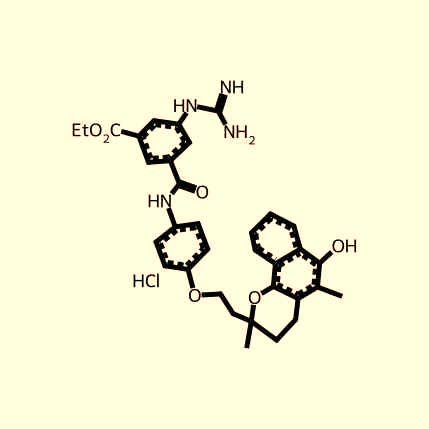 CCOC(=O)c1cc(NC(=N)N)cc(C(=O)Nc2ccc(OCCC3(C)CCc4c(C)c(O)c5ccccc5c4O3)cc2)c1.Cl